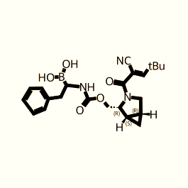 CC(C)(C)C=C(C#N)C(=O)N1C[C@@H]2C[C@@H]2[C@@H]1COC(=O)NC(Cc1ccccc1)B(O)O